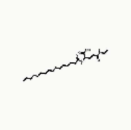 CCCCCCCCCCCCCCCC(=O)NC(CCC(=O)NCC)C(=O)O